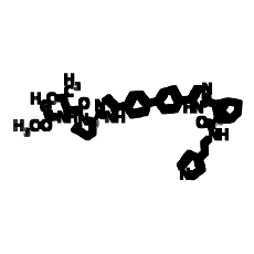 COC(=O)N[C@H](C(=O)N1CCC[C@H]1c1ncc(-c2ccc(-c3ccc(-c4cnc(C5C6CCC(C6)[C@@H]5C(=O)NCCc5ccncc5)[nH]4)cc3)cc2)[nH]1)C(C)C